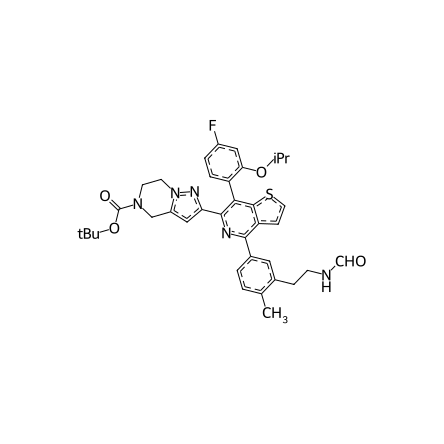 Cc1ccc(-c2nc(-c3cc4n(n3)CCN(C(=O)OC(C)(C)C)C4)c(-c3ccc(F)cc3OC(C)C)c3sccc23)cc1CCNC=O